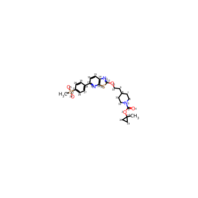 CC1(OC(=O)N2CCC(CCOc3nc4ccc(-c5ccc(S(C)(=O)=O)cc5)nc4s3)CC2)CC1